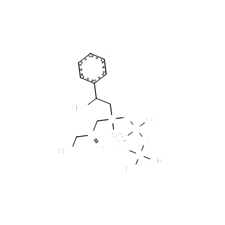 CC[Si](=O)C[Si](C)(CC(C)c1ccccc1)O[Si](C)(C)O[Si](C)(C)C